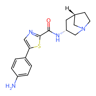 Nc1ccc(-c2cnc(C(=O)N[C@@H]3C[C@@H]4CCN(C4)C3)s2)cc1